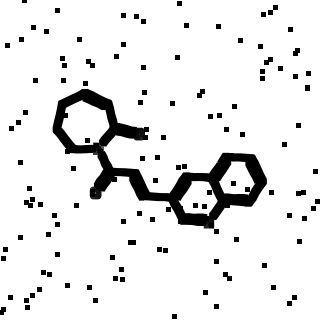 O=C1C=CCCCN1C(=O)C=Cc1cnc2ccccc2c1